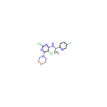 CC(Nc1nc(Cl)nc(N2CCOCC2)c1Cl)c1ccc(F)cn1